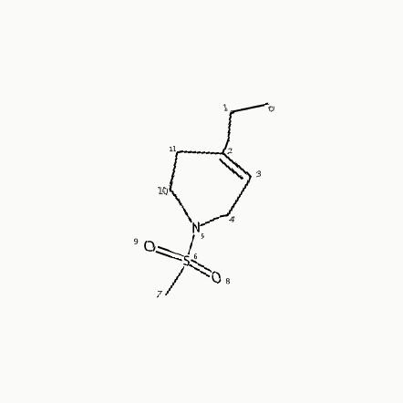 CCC1=CCN(S(C)(=O)=O)CC1